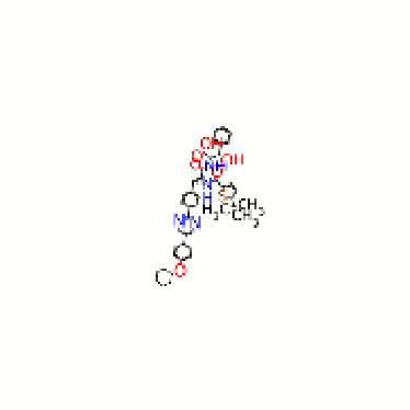 CC(C)(C)c1ccc(C(=O)N[C@@H](Cc2ccc(-c3ncc(-c4ccc(OC5CCCCC5)cc4)cn3)cc2)C(=O)NC(C(=O)O)C(O)c2ccccc2)s1